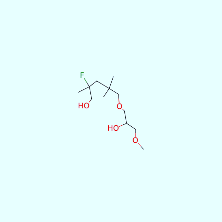 COCC(O)COCC(C)(C)CC(C)(F)CO